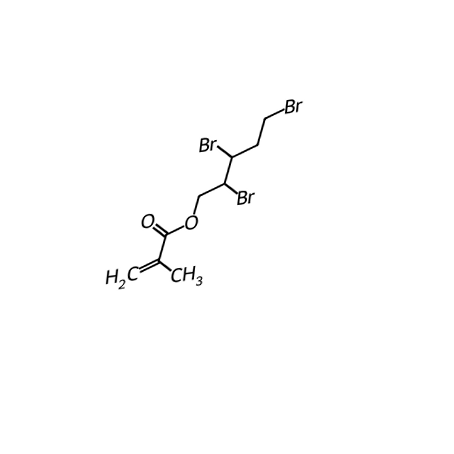 C=C(C)C(=O)OCC(Br)C(Br)CCBr